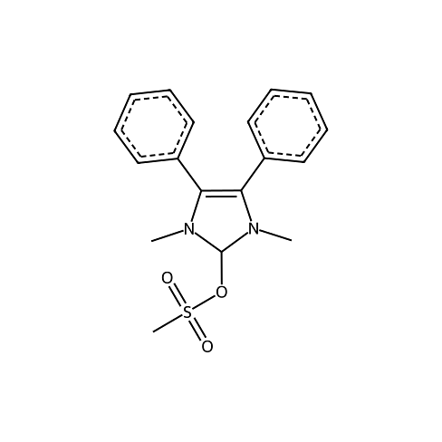 CN1C(c2ccccc2)=C(c2ccccc2)N(C)C1OS(C)(=O)=O